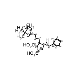 CC1(C)OB(CCCC2C(NCc3ccccc3)CN(C(=O)O)[C@@H]2C(=O)O)OC1(C)C